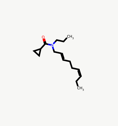 CC/C=C\CC/C=C/CN(CCC)C(=O)C1CC1